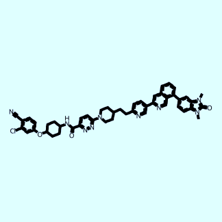 Cn1c(=O)n(C)c2cc(-c3cccc4cc(-c5ccc(CCC6CCN(c7ccc(C(=O)NC8CCC(Oc9ccc(C#N)c(Cl)c9)CC8)nn7)CC6)nc5)ncc34)ccc21